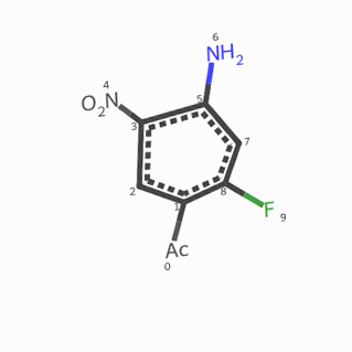 CC(=O)c1cc([N+](=O)[O-])c(N)cc1F